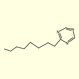 CCCCCCCCc1ncncn1